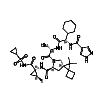 CC(C)(C)[C@H](NC(=O)[C@@H](NC(=O)c1cn[nH]c1)C1CCCCC1)C(=O)N1C[C@]2(C[C@H]1C(=O)N[C@@]1(C(=O)NS(=O)(=O)C3CC3)C[C@@H]1I)C(C)(C)C21CCC1